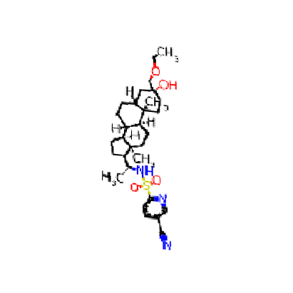 CCOC[C@@]1(O)CC[C@@]2(C)[C@H](CC[C@@H]3[C@@H]2CC[C@]2(C)[C@@H]([C@@H](C)NS(=O)(=O)c4ccc(C#N)cn4)CC[C@@H]32)C1